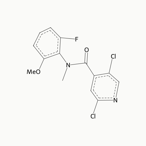 COc1cccc(F)c1N(C)C(=O)c1cc(Cl)ncc1Cl